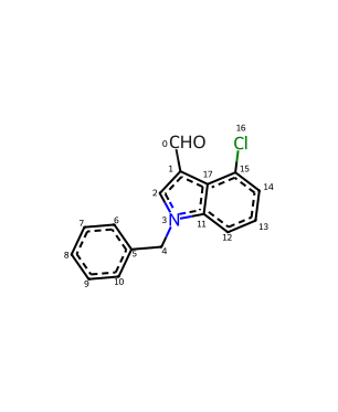 O=Cc1cn(Cc2ccccc2)c2cccc(Cl)c12